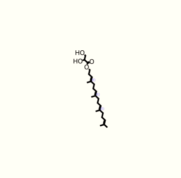 CC(C)=CCC/C(C)=C/CC/C(C)=C/CC/C(C)=C/CCOC(=O)C(O)CO